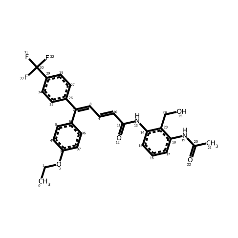 CCOc1ccc(/C(=C\C=C\C(=O)Nc2cccc(NC(C)=O)c2CO)c2ccc(C(F)(F)F)cc2)cc1